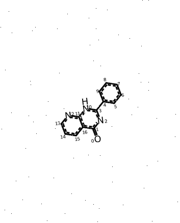 O=c1nc(-c2ccccc2)[nH]c2ncccc12